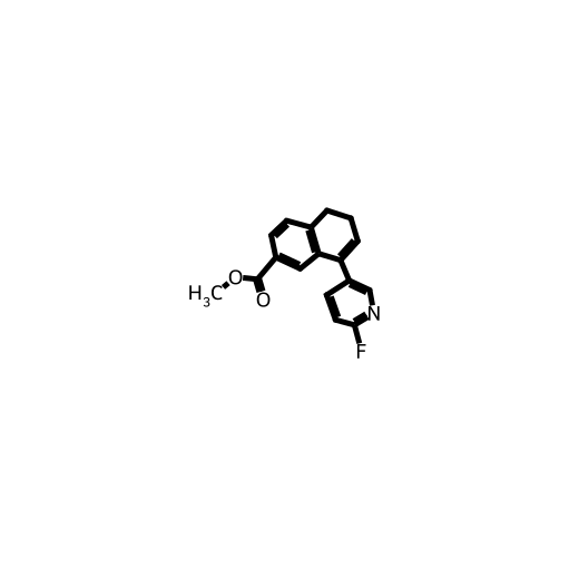 COC(=O)c1ccc2c(c1)C(c1ccc(F)nc1)=CCC2